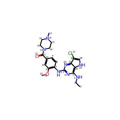 CCNc1nc(Nc2ccc(C(=O)N3CCN(C)CC3)cc2OC)nc2c(Cl)c[nH]c12